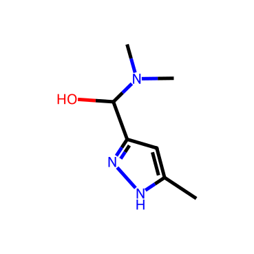 Cc1cc(C(O)N(C)C)n[nH]1